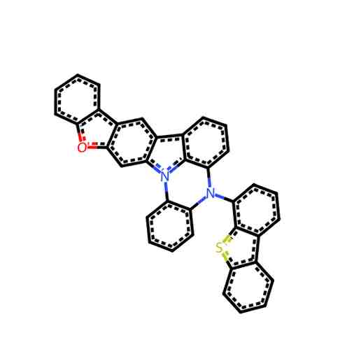 c1ccc2c(c1)N(c1cccc3c1sc1ccccc13)c1cccc3c4cc5c(cc4n-2c13)oc1ccccc15